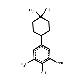 Cc1cc(C2CCC(C)(C)CC2)cc(C(C)(C)C)c1C